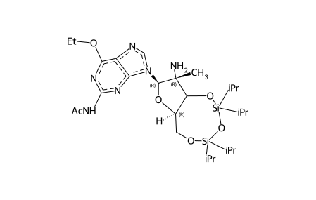 CCOc1nc(NC(C)=O)nc2c1ncn2[C@@H]1O[C@@H]2CO[Si](C(C)C)(C(C)C)O[Si](C(C)C)(C(C)C)OC2[C@@]1(C)N